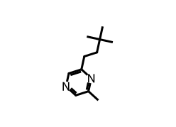 Cc1cncc(CCC(C)(C)C)n1